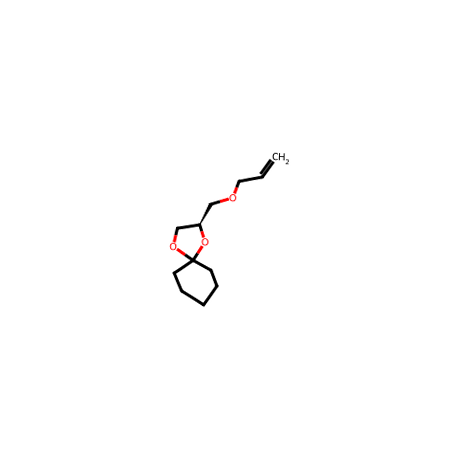 C=CCOC[C@@H]1COC2(CCCCC2)O1